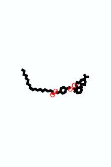 CCCCCCCC/C=C\CCCCCCCC(=O)OCC1CCC(COC(=O)C2(C)CCCC3(C)C4CCC(C(C)C)=CC4=CCC23)CC1